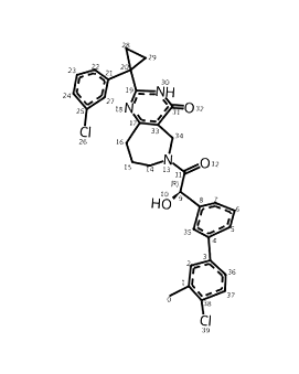 Cc1cc(-c2cccc([C@@H](O)C(=O)N3CCCc4nc(C5(c6cccc(Cl)c6)CC5)[nH]c(=O)c4C3)c2)ccc1Cl